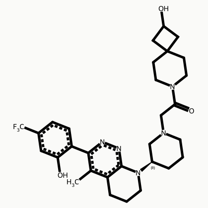 Cc1c(-c2ccc(C(F)(F)F)cc2O)nnc2c1CCCN2[C@@H]1CCCN(CC(=O)N2CCC3(CC2)CC(O)C3)C1